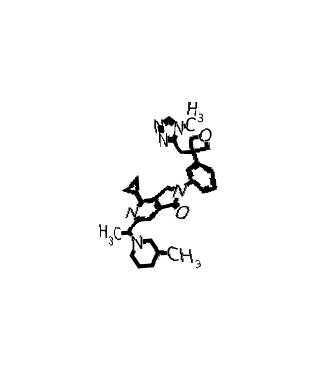 CC1CCCN(C(C)c2cc3c(c(C4CC4)n2)CN(c2cccc(C4(Cc5nncn5C)COC4)c2)C3=O)C1